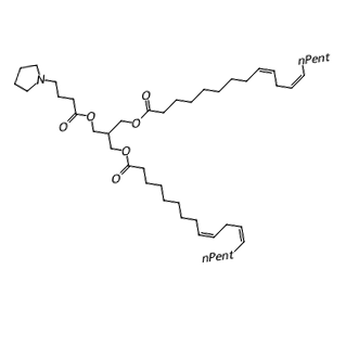 CCCCC/C=C\C/C=C\CCCCCCCC(=O)OCC(COC(=O)CCCCCCC/C=C\C/C=C\CCCCC)COC(=O)CCCN1CCCC1